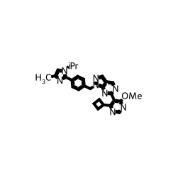 COc1ncnc(C2CCC2)c1-c1ncc2cnn(Cc3ccc(-c4nc(C)cn4C(C)C)cc3)c2n1